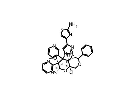 CO[C@@]1(c2ccccn2)[C@@H](S)O[C@@]2(Cl)COC(c3ccccc3)O[C@@H]2C1(c1cccnc1)n1cc(-c2csc(N)n2)nn1